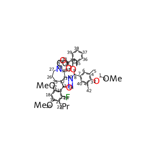 COCOc1c(C)cc(C(=O)NC2C(C(=O)c3c(OC)cc(OC)c(C(C)C)c3F)CCCN(C(=O)O)C2OC(=O)c2ccccc2)cc1C